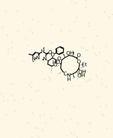 CC[C@H]1OC(=O)[C@H](C)[C@@H](O)[C@H](C)[C@@H](O[C@@H]2O[C@H](C)C[C@H](N(C)C(=O)N(C)c3cc(C)n(C)n3)[C@H]2Oc2ccccc2)[C@](C)(O)C[C@@H](C)CN[C@H](C)[C@@H](O)[C@]1(C)O